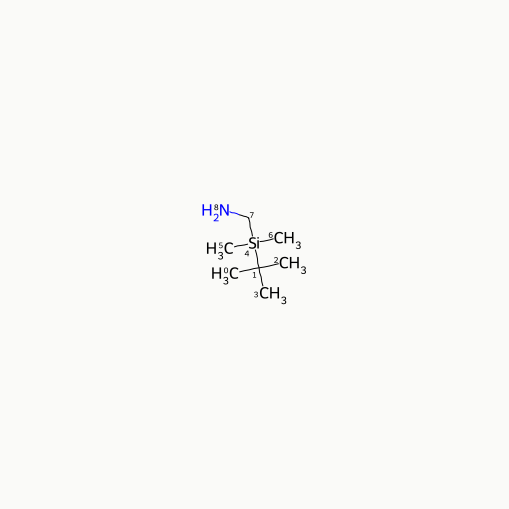 CC(C)(C)[Si](C)(C)CN